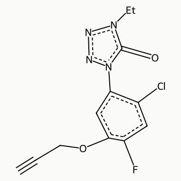 C#CCOc1cc(-n2nnn(CC)c2=O)c(Cl)cc1F